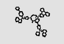 C=C1/C=C(c2ccc(N(c3ccc(-c4ccccc4)cc3)c3cccc4ccccc34)cc2)\C=C/CN(c2ccc3c4ccccc4c4ccccc4c3c2)c2ccc(-c3ccc(N(c4ccccc4)c4cccc5ccccc45)cc3)cc21